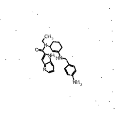 CCN(C(=O)c1cc2ncccc2[nH]1)[C@@H]1C=C(NCc2ccc(N)cc2)CCC1